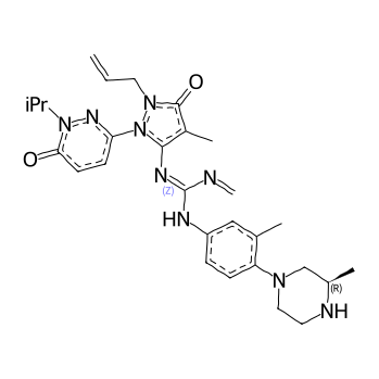 C=CCn1c(=O)c(C)c(/N=C(\N=C)Nc2ccc(N3CCN[C@H](C)C3)c(C)c2)n1-c1ccc(=O)n(C(C)C)n1